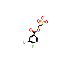 O=C(OCCS(=O)(=O)O)c1ccc(F)c(Br)c1